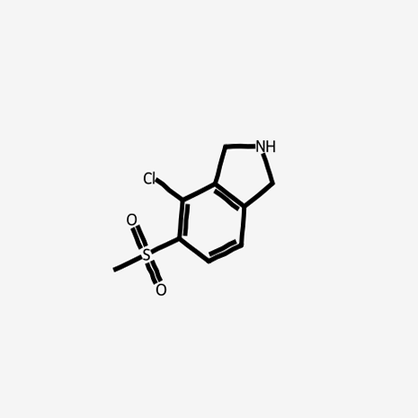 CS(=O)(=O)c1ccc2c(c1Cl)CNC2